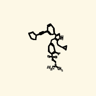 CN(C)/C=N/S(=O)(=O)c1ccc(Cc2c(-c3cccc(C#CC4CCCC4)c3)c[nH]c2CC2CC2)cc1F